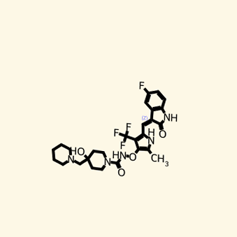 Cc1[nH]c(/C=C2\C(=O)Nc3ccc(F)cc32)c(C(F)(F)F)c1ONC(=O)N1CCC(O)(CN2CCCCC2)CC1